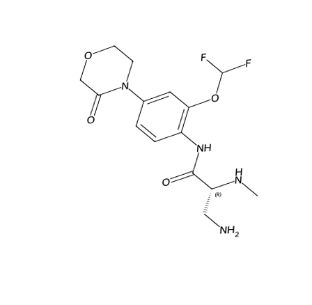 CN[C@H](CN)C(=O)Nc1ccc(N2CCOCC2=O)cc1OC(F)F